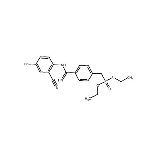 CCOP(=O)(Cc1ccc(C(=N)Nc2ccc(Br)cc2C#N)cc1)OCC